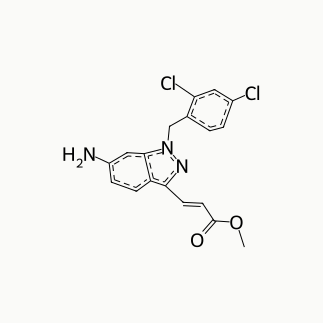 COC(=O)/C=C/c1nn(Cc2ccc(Cl)cc2Cl)c2cc(N)ccc12